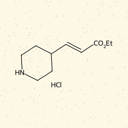 CCOC(=O)/C=C/C1CCNCC1.Cl